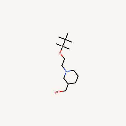 CC(C)(C)[Si](C)(C)OCCN1CCCC(CO)C1